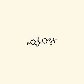 CC(C)(C)C(=O)ON1CCC(C(=O)Nc2ccc(F)cc2Br)CC1